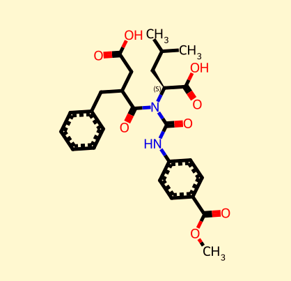 COC(=O)c1ccc(NC(=O)N(C(=O)C(CC(=O)O)Cc2ccccc2)[C@@H](CC(C)C)C(=O)O)cc1